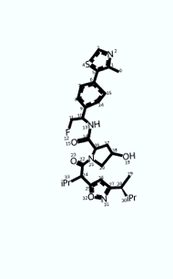 Cc1ncsc1-c1ccc(C(CF)NC(=O)C2CC(O)CN2C(=O)C(c2cc([C@@H](C)C(C)C)no2)C(C)C)cc1